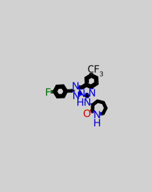 O=C1NCCCC[C@H]1Nc1nc2ccc(C(F)(F)F)cc2c2nc(-c3ccc(F)cc3)nn12